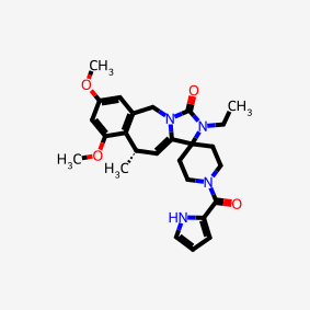 CCN1C(=O)N2Cc3cc(OC)cc(OC)c3[C@@H](C)C=C2C12CCN(C(=O)c1ccc[nH]1)CC2